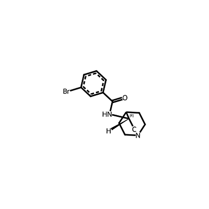 O=C(N[C@H]1CN2CCC1CC2)c1cccc(Br)c1